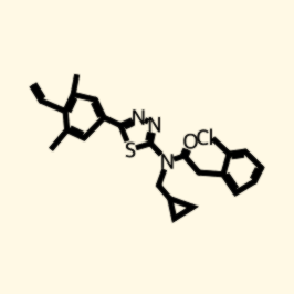 C=Cc1c(C)cc(-c2nnc(N(CC3CC3)C(=O)Cc3ccccc3Cl)s2)cc1C